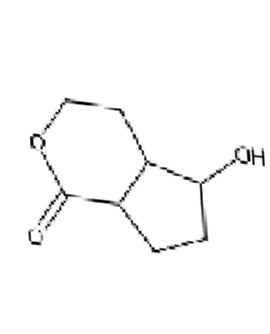 O=C1OCCC2C(O)CCC12